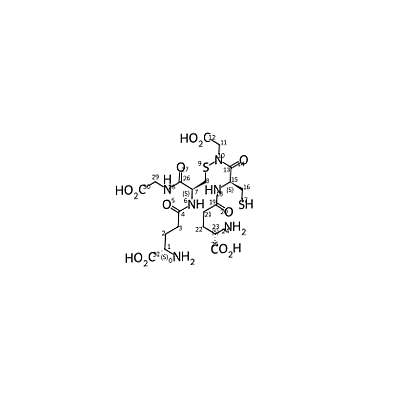 N[C@@H](CCC(=O)N[C@H](CSN(CC(=O)O)C(=O)[C@@H](CS)NC(=O)CC[C@H](N)C(=O)O)C(=O)NCC(=O)O)C(=O)O